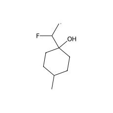 [CH2]C(F)C1(O)CCC(C)CC1